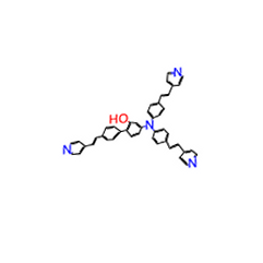 Oc1cc(N(c2ccc(/C=C/c3ccncc3)cc2)c2ccc(/C=C/c3ccncc3)cc2)ccc1-c1ccc(/C=C/c2ccncc2)cc1